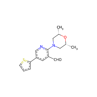 C[C@@H]1CN(c2ncc(-c3cccs3)cc2C=O)C[C@H](C)O1